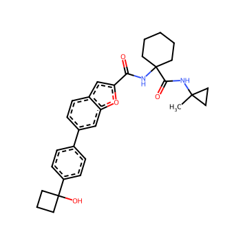 CC1(NC(=O)C2(NC(=O)c3cc4ccc(-c5ccc(C6(O)CCC6)cc5)cc4o3)CCCCC2)CC1